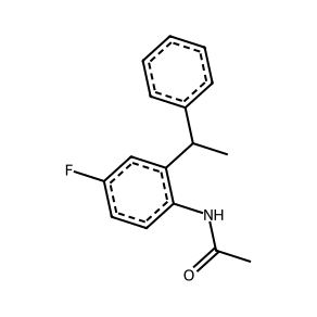 CC(=O)Nc1ccc(F)cc1C(C)c1ccccc1